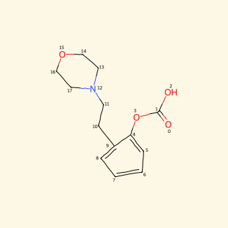 O=C(O)Oc1ccccc1CCN1CCOCC1